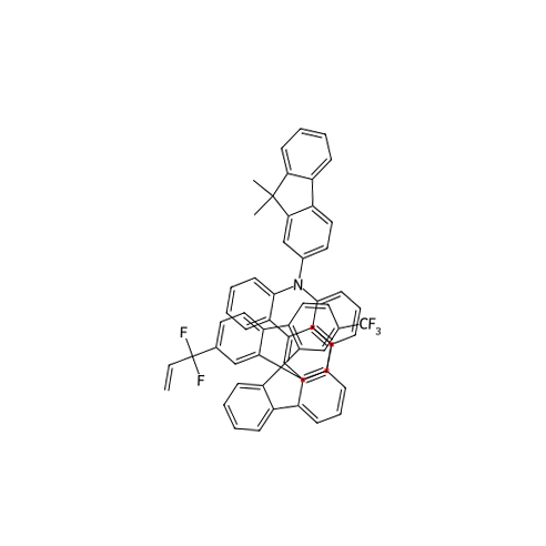 C=CC(F)(F)c1ccc2c(c1)C1(c3cc(C(F)(F)F)ccc3-2)c2ccccc2-c2cccc(-c3cccc(N(c4ccc5c(c4)C(C)(C)c4ccccc4-5)c4ccccc4-c4ccccc4)c3)c21